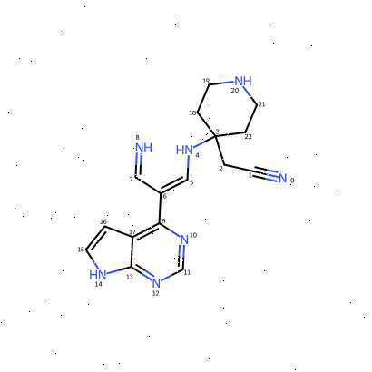 N#CCC1(N/C=C(\C=N)c2ncnc3[nH]ccc23)CCNCC1